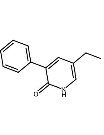 CCc1c[nH]c(=O)c(-c2ccccc2)c1